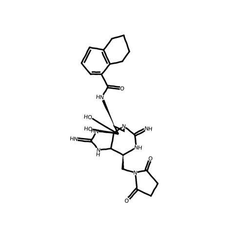 N=C1NC2[C@H](CN3C(=O)CCC3=O)NC(=N)N3C[C@H](NC(=O)c4cccc5c4CCCC5)C(O)(O)C23N1